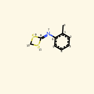 Cc1ccccc1N=C1SCS1